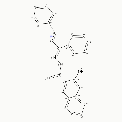 O=C(NN=C(/C=C/c1ccccc1)c1ccccc1)c1cc2ccccc2cc1O